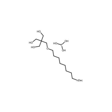 CCCCCCCCCCCCCCCCCCOCC(CO)(CO)CO.OP(O)O